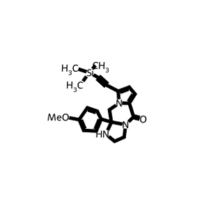 COc1ccc(C23Cn4c(C#C[Si](C)(C)C)ccc4C(=O)N2CCN3)cc1